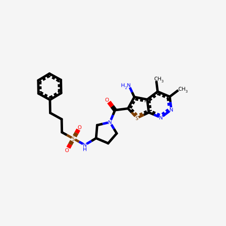 Cc1nnc2sc(C(=O)N3CCC(NS(=O)(=O)CCCc4ccccc4)C3)c(N)c2c1C